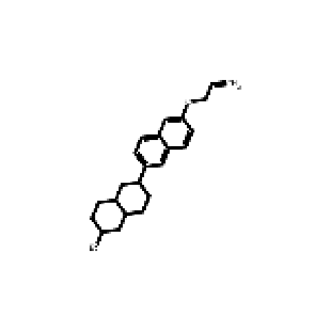 C=CCOc1ccc2cc(C3CCC4CC(CC)CCC4C3)ccc2c1